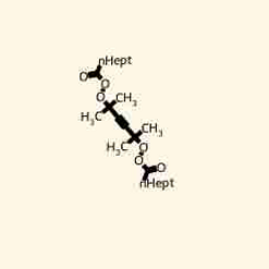 CCCCCCCC(=O)OOC(C)(C)C#CC(C)(C)OOC(=O)CCCCCCC